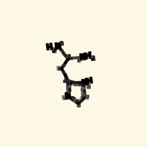 NC(N)Cc1ncc[nH]1